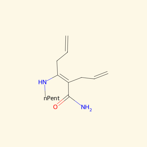 C=CCC(NCCCCC)=C(CC=C)C(N)=O